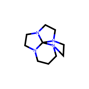 C1CN2CCN3CCN4CCN(C1)C234